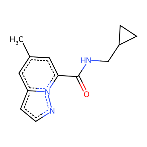 Cc1cc(C(=O)NCC2CC2)n2nccc2c1